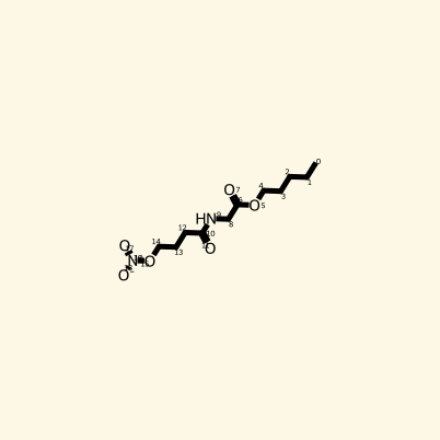 CCCCCOC(=O)CNC(=O)CCCO[N+](=O)[O-]